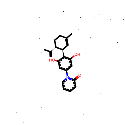 C=C(C)[C@@H]1CCC(C)=C[C@H]1c1c(O)cc(-n2ccccc2=O)cc1O